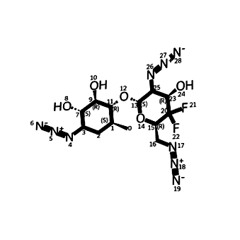 C[C@H]1CC(N=[N+]=[N-])[C@H](O)[C@@H](O)[C@@H]1O[C@H]1O[C@H](CN=[N+]=[N-])C(F)(F)[C@H](O)C1N=[N+]=[N-]